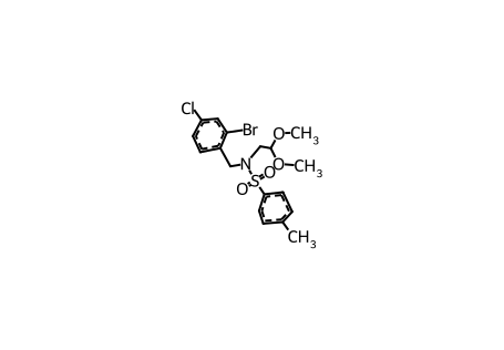 COC(CN(Cc1ccc(Cl)cc1Br)S(=O)(=O)c1ccc(C)cc1)OC